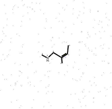 C/C=C(/C)CNC